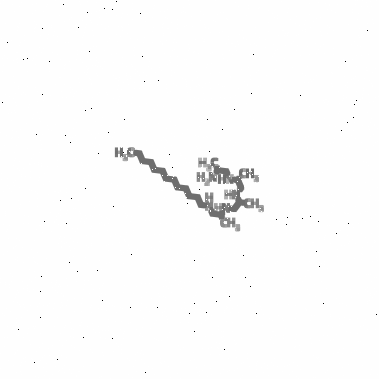 CCCCCCCCCCCCCNCC(C)NCC(C)NCC(C)NCC(C)N